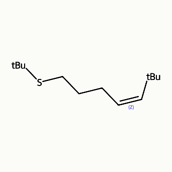 CC(C)(C)/C=C\CCCSC(C)(C)C